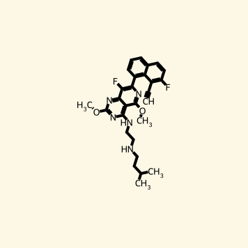 C#Cc1c(F)ccc2cccc(-c3nc(OC)c4c(NCCNCCC(C)C)nc(OC)nc4c3F)c12